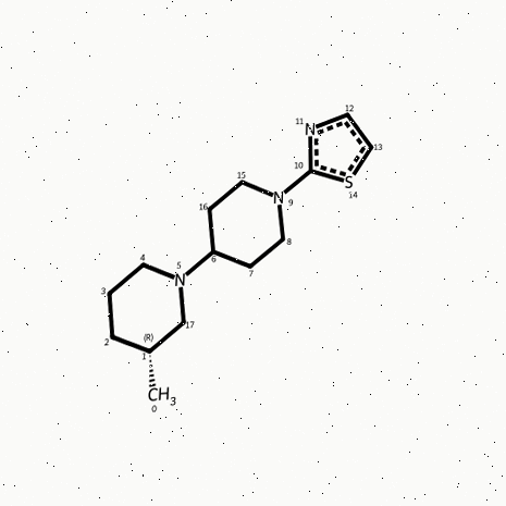 C[C@@H]1CCCN(C2CCN(c3nccs3)CC2)C1